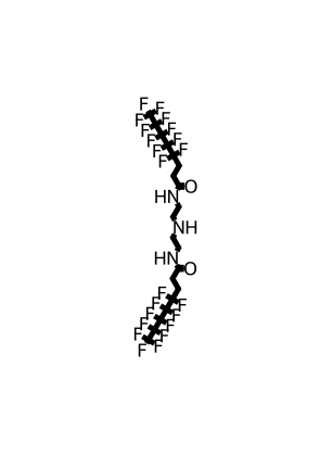 O=C(CCC(F)(F)C(F)(F)C(F)(F)C(F)(F)C(F)(F)F)NCCNCCNC(=O)CCC(F)(F)C(F)(F)C(F)(F)C(F)(F)C(F)(F)F